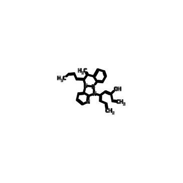 C=C/C=C(\C=C(\O)C=C)N1B2c3ccccc3C(=C)/C(=C\C=C/C)N2c2cccnc21